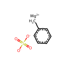 Cc1ccccc1.O=S(=O)([O-])[O-].[Mg+2]